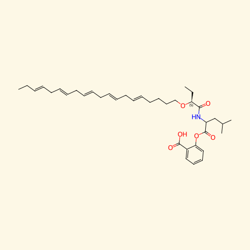 CCC=CCC=CCC=CCC=CCC=CCCCCO[C@@H](CC)C(=O)NC(CC(C)C)C(=O)Oc1ccccc1C(=O)O